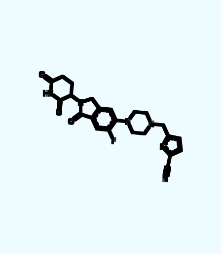 N#Cc1ccc(CN2CCN(c3cc4c(cc3F)C(=O)N(C3CCC(=O)NC3=O)C4)CC2)s1